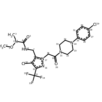 CON(C)C(=O)NCc1c(Cl)c(C(F)(F)F)nn1CC(=O)N1CCN(c2ccc(Cl)cc2)CC1